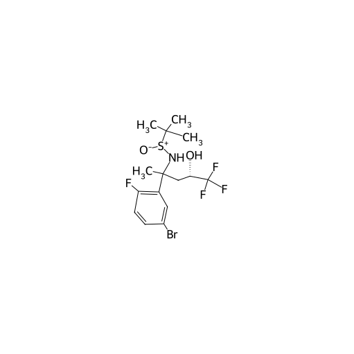 CC(C[C@H](O)C(F)(F)F)(N[S+]([O-])C(C)(C)C)c1cc(Br)ccc1F